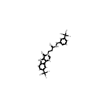 O=C(CCn1cnc2c([nH]c3ccc(C(F)(F)F)cc32)c1=O)NCc1cccc(C(F)(F)F)c1